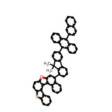 CC1(C)c2ccc(-c3c4ccccc4c(-c4ccc5ccccc5c4)c4ccccc34)cc2-c2cccc(-c3cc4oc5ccc6sc7ccccc7c6c5c4c4ccccc34)c21